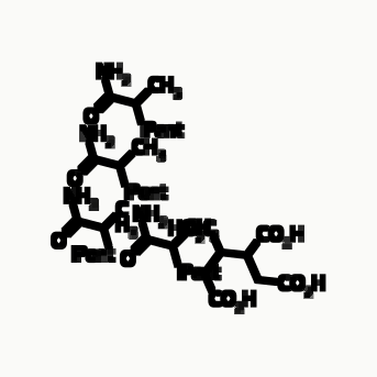 CCCC(C)C(C)C(N)=O.CCCC(C)C(C)C(N)=O.CCCC(C)C(C)C(N)=O.CCCC(C)C(C)C(N)=O.O=C(O)CC(C(=O)O)C(CC(=O)O)C(=O)O